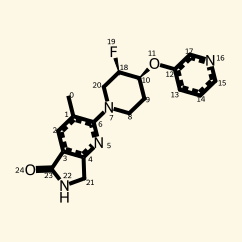 Cc1cc2c(nc1N1CC[C@H](Oc3cccnc3)[C@H](F)C1)CNC2=O